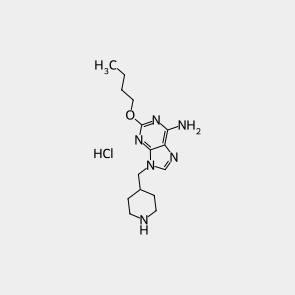 CCCCOc1nc(N)c2ncn(CC3CCNCC3)c2n1.Cl